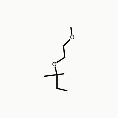 CCC(C)(C)OCCOC